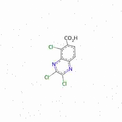 O=C(O)c1ccc2nc(Cl)c(Cl)nc2c1Cl